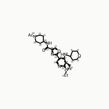 CCn1ncc2c(NC3CCOCC3)c(-c3nc(C(=O)NC4CCN(C(C)=O)CC4)co3)cnc21